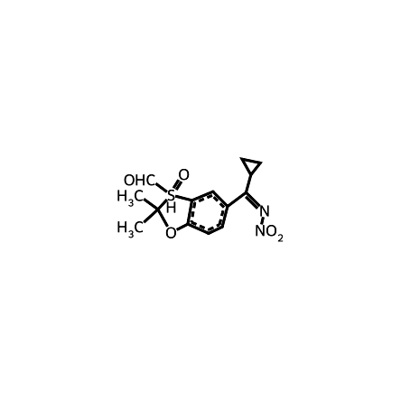 CC1(C)Oc2ccc(/C(=N\[N+](=O)[O-])C3CC3)cc2[SH]1(=O)C=O